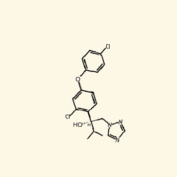 CC(C)[C@](O)(Cn1cncn1)c1ccc(Oc2ccc(Cl)cc2)cc1Cl